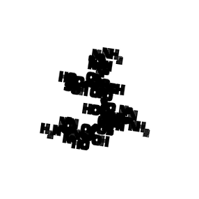 Nc1ncnc2c1ncn2C1OC(COP(O)(=S)OC2C(O)C(COP(=O)(O)OC3C(O)C(COP(O)(O)=S)OC3n3cnc4c(N)ncnc43)OC2n2cnc3c(N)ncnc32)C(O)C1O